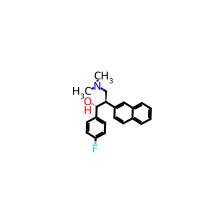 CN(C)C[C@@H](c1ccc2ccccc2c1)[C@@H](O)c1ccc(F)cc1